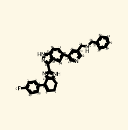 Fc1ccc(C2=CCCc3[nH]c(-c4n[nH]c5ccc(-c6cncc(CNCc7ccccc7)c6)cc45)nc32)cc1